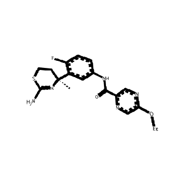 CCOc1cnc(C(=O)Nc2ccc(F)c([C@]3(C)CCSC(N)=N3)c2)cn1